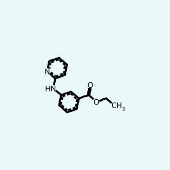 CCOC(=O)c1cccc(Nc2ccccn2)c1